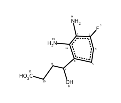 Nc1c(F)ccc(C(O)CCC(=O)O)c1N